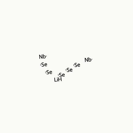 [LiH].[Nb].[Nb].[Se].[Se].[Se].[Se].[Se]